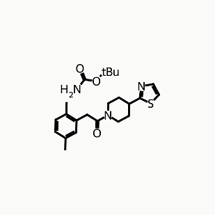 CC(C)(C)OC(N)=O.Cc1ccc(C)c(CC(=O)N2CCC(c3nccs3)CC2)c1